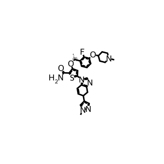 C[C@@H](Oc1cc(-n2cnc3c2C=CC(c2cnn(C)c2)C3)sc1C(N)=O)c1cccc(OC2CCN(C)CC2)c1F